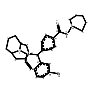 C=CCN1C2CCCC1CN(C(c1ccc(C(=O)NN3CCCCC3)cc1)c1cccc(CC)c1)CC2